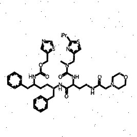 CC(C)c1nc(CN(C)C(=O)NC(CCNC(=O)CN2CCOCC2)C(=O)NC(CCC(Cc2ccccc2)NC(=O)OCc2cncs2)Cc2ccccc2)cs1